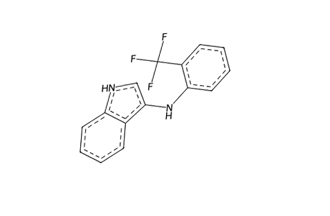 FC(F)(F)c1ccccc1Nc1c[nH]c2ccccc12